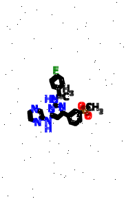 C[C@H](Nc1nc(Nc2cnccn2)cc(-c2cccc(S(C)(=O)=O)c2)n1)c1ccc(F)cc1